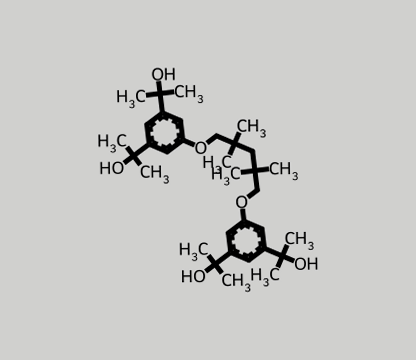 CC(C)(COc1cc(C(C)(C)O)cc(C(C)(C)O)c1)CC(C)(C)COc1cc(C(C)(C)O)cc(C(C)(C)O)c1